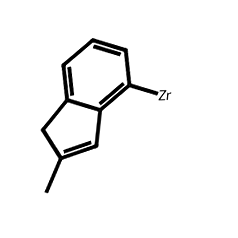 CC1=Cc2[c]([Zr])cccc2C1